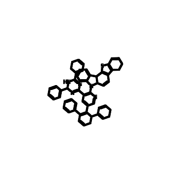 C1=CCCC(C2=NC(c3cc(C4=C(c5ccccc5)C=CCC4C4=CCCC=C4)cnc3N3c4ccccc4C4c5sc6c(c5C=CC43)CCC=C6)=NC(c3ccccc3)N2)=C1